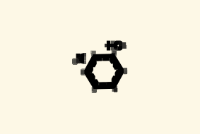 [N].[OH].c1ccccc1